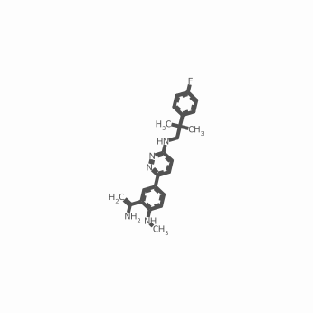 C=C(N)c1cc(-c2ccc(NCC(C)(C)c3ccc(F)cc3)nn2)ccc1NC